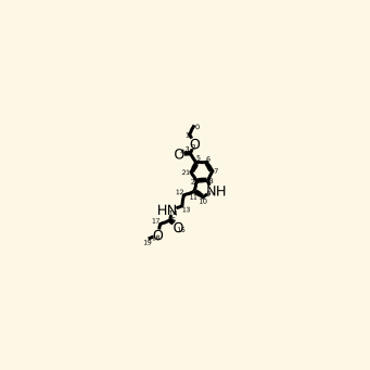 CCOC(=O)c1ccc2[nH]cc(CCNC(=O)COC)c2c1